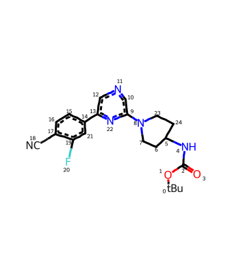 CC(C)(C)OC(=O)NC1CCN(c2cncc(-c3ccc(C#N)c(F)c3)n2)CC1